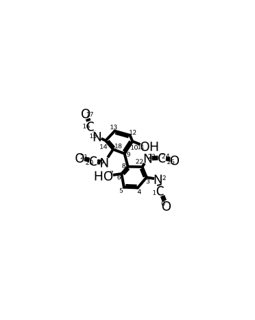 O=C=Nc1ccc(O)c(-c2c(O)ccc(N=C=O)c2N=C=O)c1N=C=O